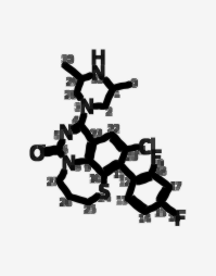 CC1CN(c2nc(=O)n3c4c(c(-c5ccc(F)cc5F)c(Cl)cc24)SCCC3)CC(C)N1